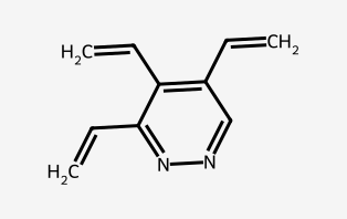 C=Cc1cnnc(C=C)c1C=C